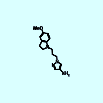 COc1ccc2c(c1)CCN2CCCn1cc(N)cn1